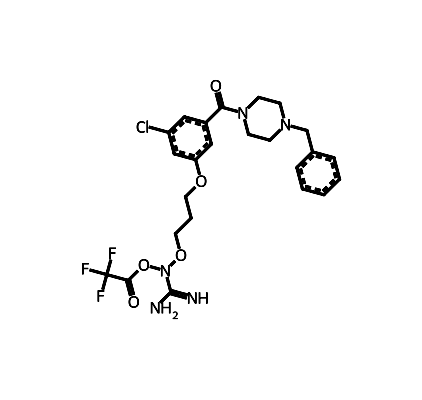 N=C(N)N(OCCCOc1cc(Cl)cc(C(=O)N2CCN(Cc3ccccc3)CC2)c1)OC(=O)C(F)(F)F